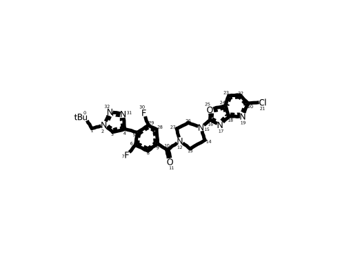 CC(C)(C)Cn1cc(-c2c(F)cc(C(=O)N3CCN(c4nc5nc(Cl)ccc5o4)CC3)cc2F)nn1